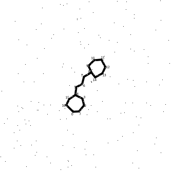 [CH]1CCCC(CCCC2CC[CH]CCC2)CC1